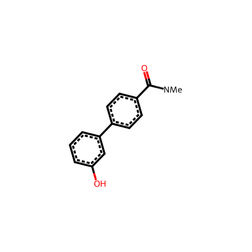 CNC(=O)c1ccc(-c2cccc(O)c2)cc1